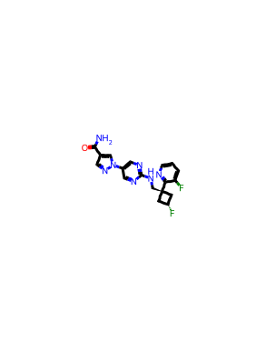 NC(=O)c1cnn(-c2cnc(NC[C@]3(c4ncccc4F)C[C@@H](F)C3)nc2)c1